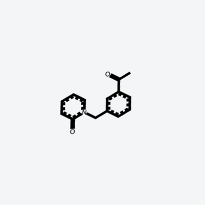 CC(=O)c1cccc(Cn2ccccc2=O)c1